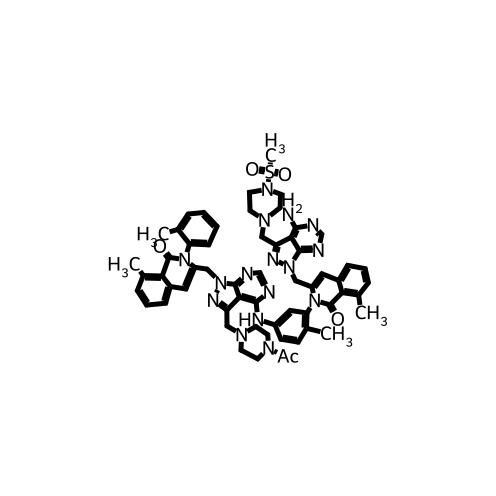 CC(=O)N1CCN(Cc2nn(Cc3cc4cccc(C)c4c(=O)n3-c3ccccc3C)c3ncnc(Nc4ccc(C)c(-n5c(Cn6nc(CN7CCN(S(C)(=O)=O)CC7)c7c(N)ncnc76)cc6cccc(C)c6c5=O)c4)c23)CC1